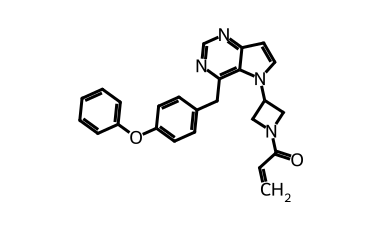 C=CC(=O)N1CC(n2ccc3ncnc(Cc4ccc(Oc5ccccc5)cc4)c32)C1